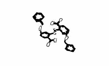 O=C(Cl)c1ccc(OCc2ccccc2)cc1SSc1cc(OCc2ccccc2)ccc1C(=O)Cl